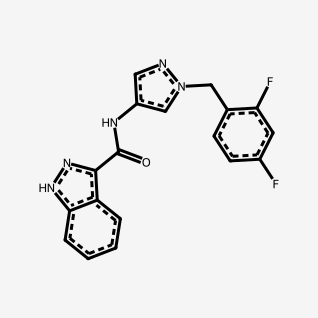 O=C(Nc1cnn(Cc2ccc(F)cc2F)c1)c1n[nH]c2ccccc12